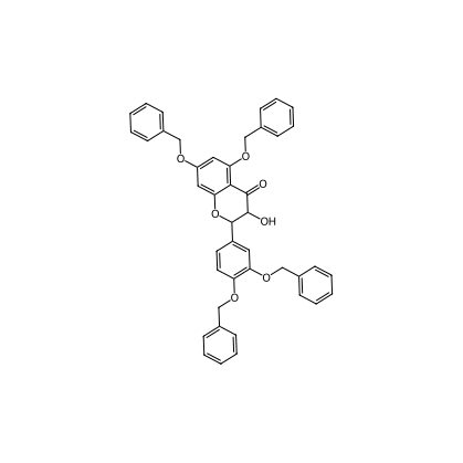 O=C1c2c(OCc3ccccc3)cc(OCc3ccccc3)cc2OC(c2ccc(OCc3ccccc3)c(OCc3ccccc3)c2)C1O